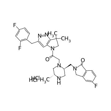 C[C@@H]1CN(CC(=O)N2CC(C)(C)c3nnc(Cc4ccc(F)cc4F)cc32)[C@@H](CN2Cc3cc(F)ccc3C2=O)CN1.Cl.Cl